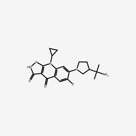 CC(C)(N)C1CCN(c2cc3c(cc2F)c(=O)c2c(=O)[nH]sc2n3C2CC2)C1